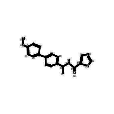 CCOc1ccc(-c2ccc(C(C)NC(=O)c3cncs3)cc2)cc1